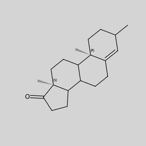 CC1C=C2CCC3C(CC[C@]4(C)C(=O)CCC34)[C@@]2(C)CC1